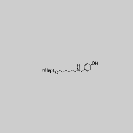 CCCCCCCOCCCCCCNCc1ccc(O)cc1